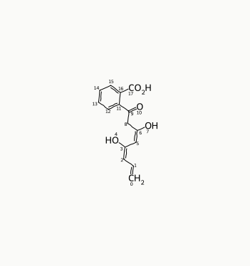 C=C/C=C(O)\C=C(\O)CC(=O)c1ccccc1C(=O)O